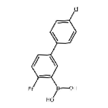 CCc1ccc(-c2ccc(Cl)cc2)cc1B(O)O